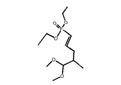 CCOP(=O)(/C=C/CC(C)C(OC)OC)OCC